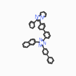 c1ccc(-c2ccc(-c3nc(-c4cccc(-c5ccc(-c6c(-c7ccccc7)nc7ccccn67)cc5)c4)nc(-c4ccc5ccccc5c4)n3)cc2)cc1